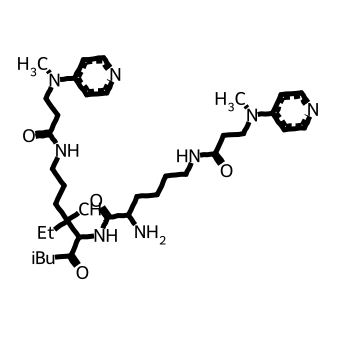 CCC(C)C(=O)C(NC(=O)C(N)CCCCNC(=O)CCN(C)c1ccncc1)C(C)(CC)CCCNC(=O)CCN(C)c1ccncc1